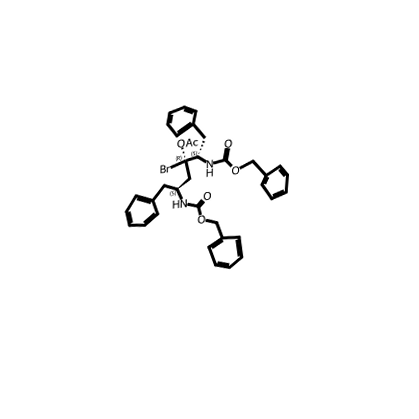 CC(=O)O[C@@](Br)(C[C@H](Cc1ccccc1)NC(=O)OCc1ccccc1)[C@H](Cc1ccccc1)NC(=O)OCc1ccccc1